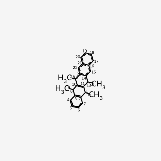 CC1C2=C(C=C=C=C2)C(C)C2=C1C(C)c1cc3ccccc3cc1C2C